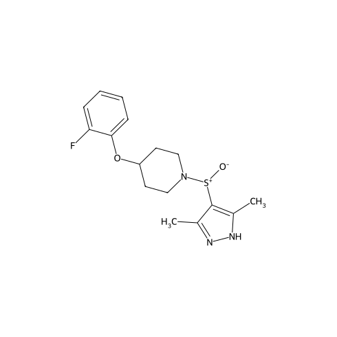 Cc1n[nH]c(C)c1[S+]([O-])N1CCC(Oc2ccccc2F)CC1